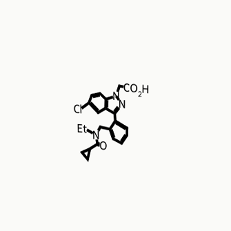 CCN(Cc1ccccc1-c1nn(CC(=O)O)c2ccc(Cl)cc12)C(=O)C1CC1